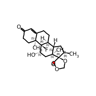 C[C@@H]1C[C@H]2[C@@H]3CCC4=CC(=O)CC[C@]4(C)[C@@]3(F)[C@@H](O)C[C@]2(C)[C@]12OCOC21COCO1